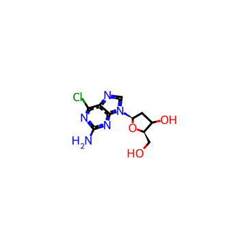 Nc1nc(Cl)c2ncn([C@H]3CC(O)[C@@H](CO)O3)c2n1